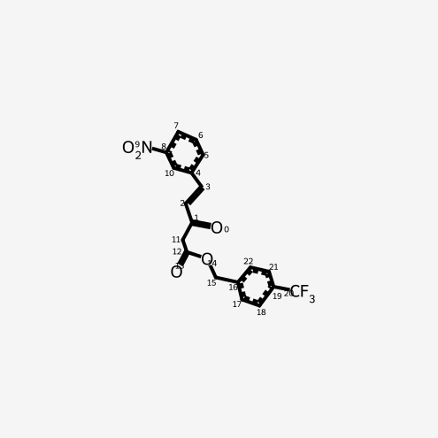 O=C(C=Cc1cccc([N+](=O)[O-])c1)CC(=O)OCc1ccc(C(F)(F)F)cc1